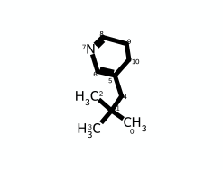 CC(C)(C)CC1=CN=CCC1